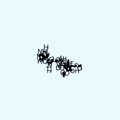 CN[C@@H]1[C@@H](COP(=O)(S)OP(=O)(O)OC2OC3(OC(C)=O)C2C(OC(C)=O)C(O)C3[C@@H](F)COC(C)=O)O[C@@H](c2c[nH]c3c(N)ncnc23)[C@]1(C)O